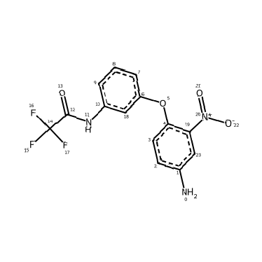 Nc1ccc(Oc2cccc(NC(=O)C(F)(F)F)c2)c([N+](=O)[O-])c1